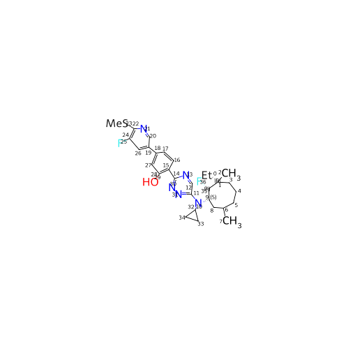 CC[C@]1(C)CCCC(C)C[C@H](N(c2cnc(-c3ccc(-c4cnc(SC)c(F)c4)cc3O)nn2)C2CC2)[C@@H]1F